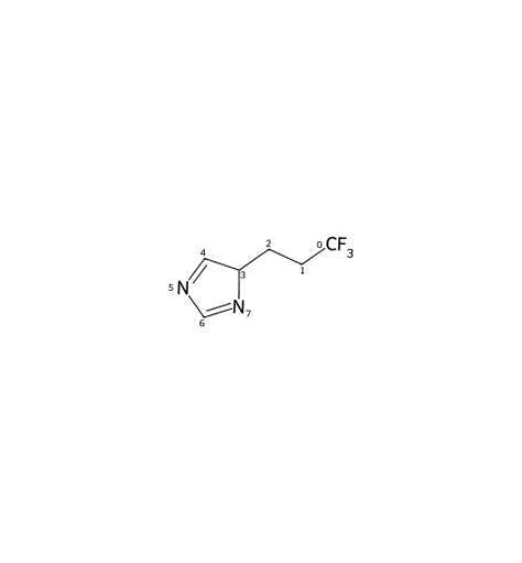 FC(F)(F)CCC1C=NC=N1